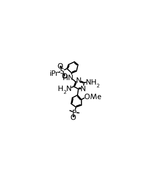 COc1cc(P(C)(C)=O)ccc1-c1nc(N)nc(Nc2ccccc2S(=O)(=O)C(C)C)c1N